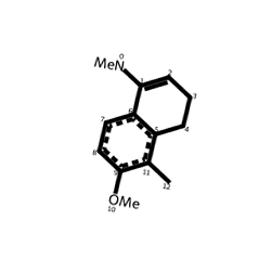 CNC1=CCCc2c1ccc(OC)c2C